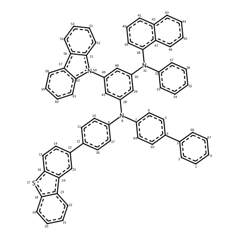 c1ccc(-c2ccc(N(c3ccc(-c4ccc5sc6ccccc6c5c4)cc3)c3cc(N(c4ccccc4)c4cccc5ccccc45)cc(-n4c5ccccc5c5ccccc54)c3)cc2)cc1